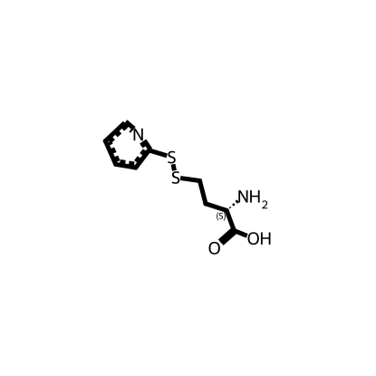 N[C@@H](CCSSc1ccccn1)C(=O)O